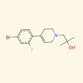 CC(C)(O)CN1CC=C(c2ccc(Br)cc2F)CC1